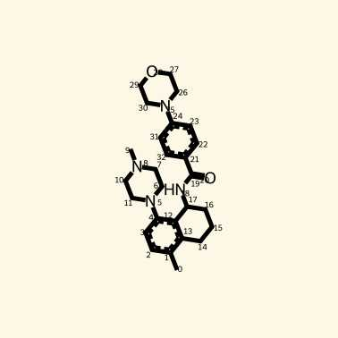 Cc1ccc(N2CCN(C)CC2)c2c1CCCC2NC(=O)c1ccc(N2CCOCC2)cc1